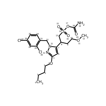 CCCCOc1cc(C(CCOC)CS(=O)(=O)OC(N)=O)n(Cc2ccc(Cl)cc2Cl)n1